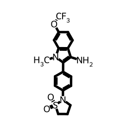 Cn1c(-c2ccc(N3CCCS3(=O)=O)cc2)c(N)c2ccc(OC(F)(F)F)cc21